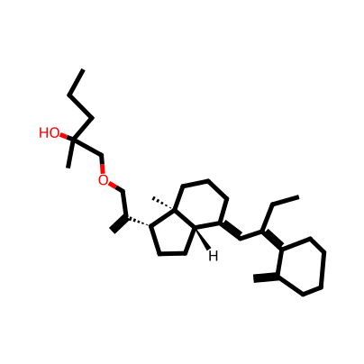 C=C1CCCC/C1=C(/C=C1\CCC[C@]2(C)[C@@H](C(=C)COCC(C)(O)CCC)CC[C@@H]12)CC